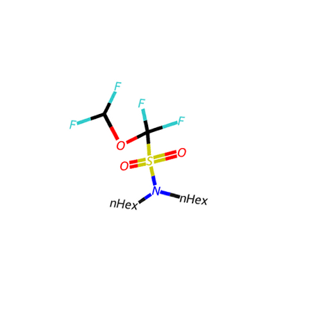 CCCCCCN(CCCCCC)S(=O)(=O)C(F)(F)OC(F)F